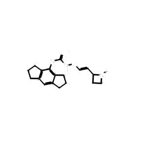 C=C(NS/C=C/C1CCN1C)Nc1c2c(cc3c1CCC3)CCC2